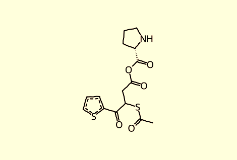 CC(=O)SC(CC(=O)OC(=O)[C@@H]1CCCN1)C(=O)c1cccs1